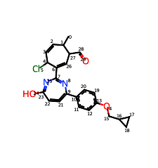 CC1C=CC(Cl)C(C2=NC(c3ccc(OCC4CC4)cc3)=C=CC(O)=N2)=CC1C=O